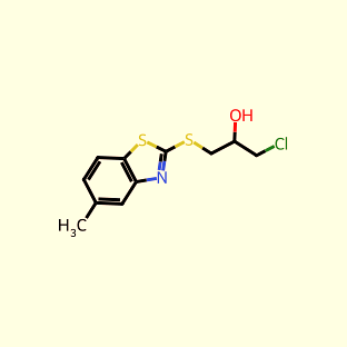 Cc1ccc2sc(SCC(O)CCl)nc2c1